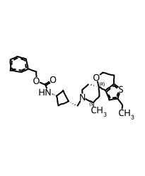 CCc1cc2c(s1)CCO[C@@]21CCN(C[C@H]2C[C@@H](NC(=O)OCc3ccccc3)C2)[C@@H](C)C1